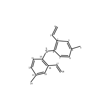 C=Cc1cc(C)ccc1Sc1ccc(C)cc1C=C